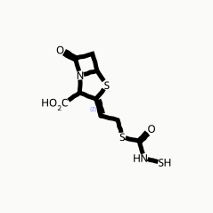 O=C(NS)SC/C=C1\SC2CC(=O)N2C1C(=O)O